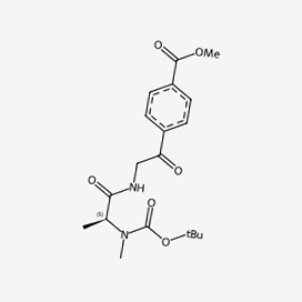 COC(=O)c1ccc(C(=O)CNC(=O)[C@H](C)N(C)C(=O)OC(C)(C)C)cc1